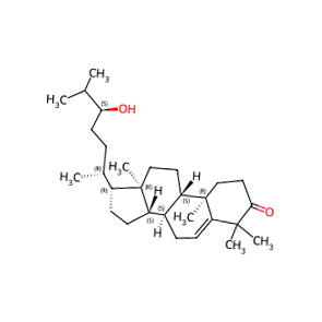 CC(C)[C@@H](O)CC[C@@H](C)[C@H]1CC[C@H]2[C@@H]3CC=C4C(C)(C)C(=O)CC[C@]4(C)[C@H]3CC[C@]12C